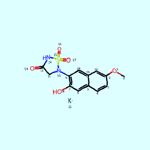 COc1ccc2cc(O)c(N3CC(=O)NS3(=O)=O)cc2c1.[K]